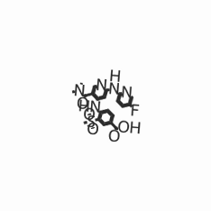 CN(C)C(=O)c1cnc(Nc2ccc(F)cn2)cc1Nc1ccc(C(=O)O)cc1S(C)(=O)=O